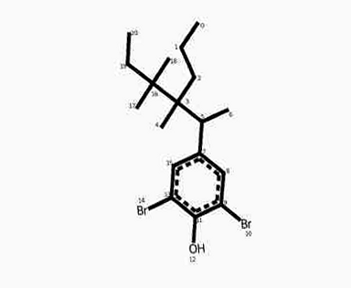 CCCC(C)(C(C)c1cc(Br)c(O)c(Br)c1)C(C)(C)CC